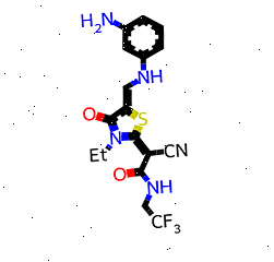 CCn1c(=C(C#N)C(=O)NCC(F)(F)F)sc(=CNc2cccc(N)c2)c1=O